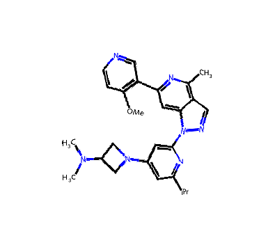 COc1ccncc1-c1cc2c(cnn2-c2cc(N3CC(N(C)C)C3)cc(C(C)C)n2)c(C)n1